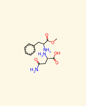 COC(=O)C(N)Cc1ccccc1.NC(=O)CC(N)C(=O)O